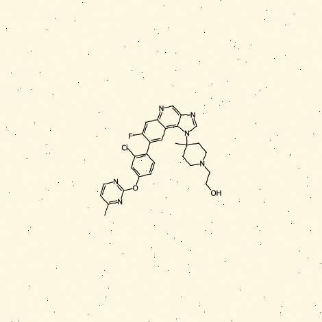 Cc1ccnc(Oc2ccc(-c3cc4c(cc3F)ncc3ncn(C5(C)CCN(CCO)CC5)c34)c(Cl)c2)n1